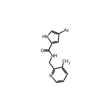 CC(=O)c1c[nH]c(C(=O)NCc2ncccc2C)c1